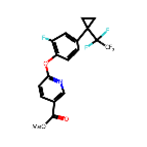 COC(=O)c1ccc(Oc2ccc(C3(C(F)(F)C(F)(F)F)CC3)cc2F)nc1